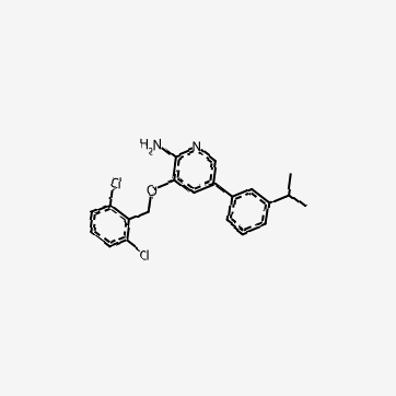 CC(C)c1cccc(-c2cnc(N)c(OCc3c(Cl)cccc3Cl)c2)c1